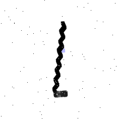 CC=CCC/C=C/CCCCCCCCC=O